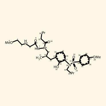 COCCNCC(=O)NN(C[C@H](C)Cc1cccc(N(CC(C)C)S(=O)(=O)c2ccc(OC)cc2)c1O)C(=O)CC(C)C